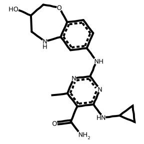 Cc1nc(Nc2ccc3c(c2)NCC(O)CO3)nc(NC2CC2)c1C(N)=O